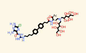 CC(=O)C(=O)[C@H](CCN(C[C@H](O)[C@@H](O)[C@H](O)[C@H](O)CO)C[C@H](O)[C@@H](O)[C@H](O)[C@H](O)CO)NC(=O)CCc1ccc(-c2ccc(CCCCNC(=N)NC(=O)c3nc(Cl)c(N)nc3N)cc2)cc1